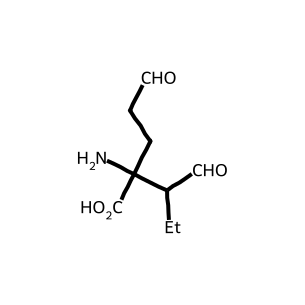 CCC(C=O)C(N)(CCC=O)C(=O)O